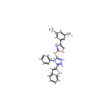 FC(F)(F)c1cc(-c2csc(Sc3nnc(-c4cc5ccccc5s4)n3-c3ccccc3)n2)cc(C(F)(F)F)c1